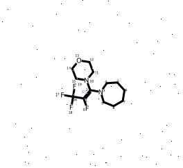 F/C(=C(\N1CCCCCC1)N1CCOCC1)C(F)(F)F